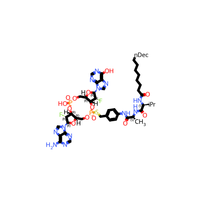 CCCCCCCCCCCCCCCCCC(=O)N[C@H](C(=O)N[C@@H](C)C(=O)Nc1ccc(CSP2(=O)OC[C@H]3O[C@@H](n4cnc5c(N)ncnc54)[C@H](F)[C@@H]3OP(=O)(O)OC[C@H]3O[C@@H](n4cnc5c(O)ncnc54)[C@H](F)[C@@H]3O2)cc1)C(C)C